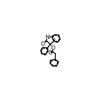 NC(=O)C(OC(=O)Cc1ccccc1)(c1ccccc1)c1ccccc1